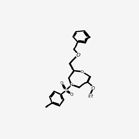 CCOC1COC(COCc2ccccc2)CN(S(=O)(=O)c2ccc(C)cc2)C1